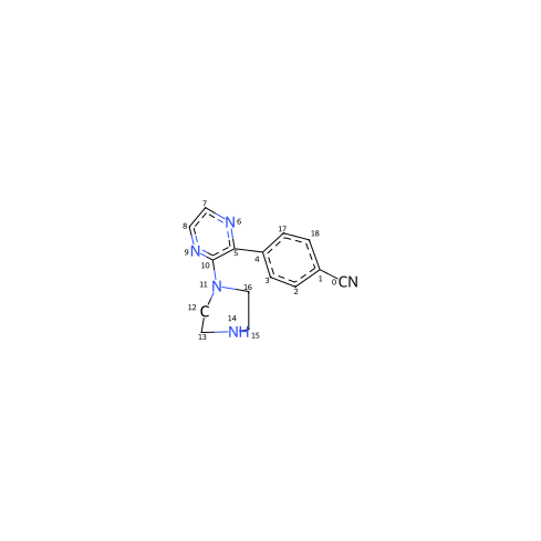 N#Cc1ccc(-c2nccnc2N2CCNCC2)cc1